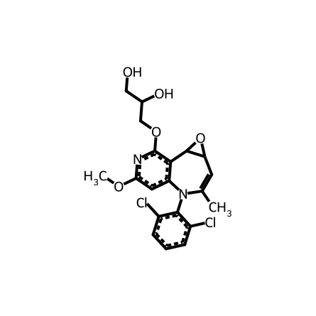 COc1cc2c(c(OCC(O)CO)n1)C1OC1C=C(C)N2c1c(Cl)cccc1Cl